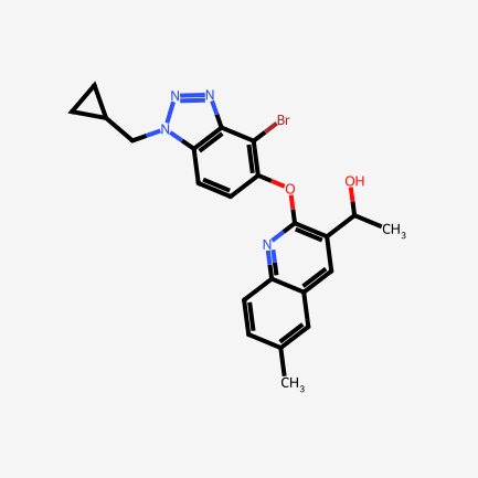 Cc1ccc2nc(Oc3ccc4c(nnn4CC4CC4)c3Br)c(C(C)O)cc2c1